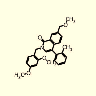 COCc1ccc2c(-c3ccccc3C)cn(Cc3ccc(OC)cc3OC)c(=O)c2c1